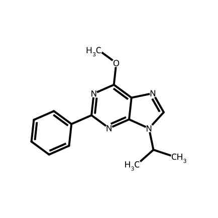 COc1nc(-c2ccccc2)nc2c1ncn2C(C)C